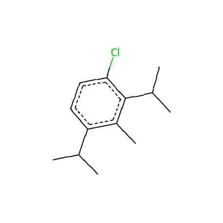 Cc1c(C(C)C)ccc(Cl)c1C(C)C